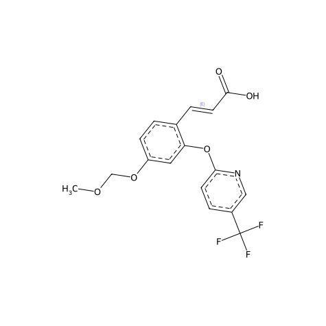 COCOc1ccc(/C=C/C(=O)O)c(Oc2ccc(C(F)(F)F)cn2)c1